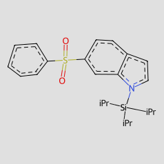 CC(C)[Si](C(C)C)(C(C)C)n1ccc2ccc(S(=O)(=O)c3ccccc3)cc21